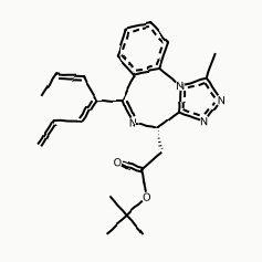 C=C/C=C(\C=C/C)C1=N[C@@H](CC(=O)OC(C)(C)C)c2nnc(C)n2-c2ccccc21